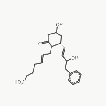 O=C(O)CCCC=CC[C@H]1C(=O)C[C@@H](O)C[C@@H]1C=CC(O)Cc1ccccc1